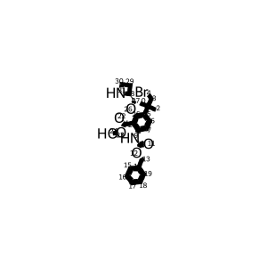 CC(C)(CBr)c1ccc(NC(=O)OCc2ccccc2)c(C(=O)OO)c1OC[C@H]1CCN1